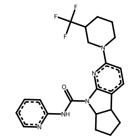 O=C(Nc1ccccn1)N1c2nc(N3CCCC(C(F)(F)F)C3)ccc2C2CCCC21